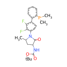 CC1CC(NC(=O)OC(C)(C)C)C(=O)N1c1ccc(-c2ccccc2P(C)C)c(F)c1F